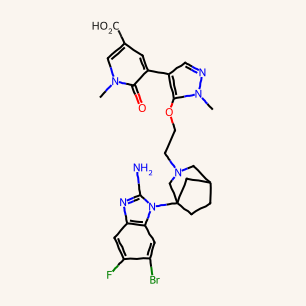 Cn1ncc(-c2cc(C(=O)O)cn(C)c2=O)c1OCCN1CC2CCC(n3c(N)nc4cc(F)c(Br)cc43)(C2)C1